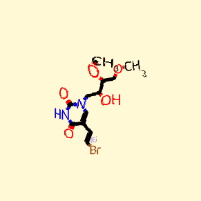 COCC(OC)C(O)Cn1cc(/C=C/Br)c(=O)[nH]c1=O